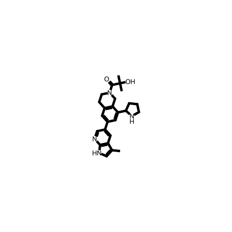 Cc1c[nH]c2ncc(-c3cc4c(c(C5CCCN5)c3)CN(C(=O)C(C)(C)O)CC4)cc12